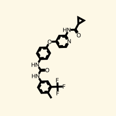 Cc1ccc(NC(=O)Nc2ccc(Oc3ccnc(NC(=O)C4CC4)c3)cc2)cc1C(F)(F)F